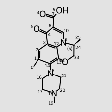 Cc1cc2c(=O)c(C(=O)O)cn3c2c(c1N1CCN(C)CC1)OC[C@@H]3C